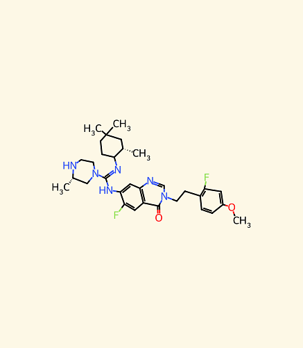 COc1ccc(CCn2cnc3cc(NC(=NC4CCC(C)(C)C[C@@H]4C)N4CCN[C@@H](C)C4)c(F)cc3c2=O)c(F)c1